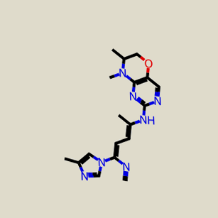 C=N/C(=C\C=C(/C)Nc1ncc2c(n1)N(C)C(C)CO2)n1cnc(C)c1